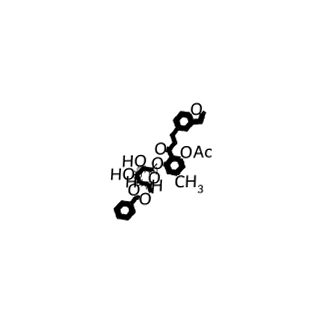 CC(=O)Oc1cc(C)cc(O[C@@H]2O[C@@H]3COC(c4ccccc4)O[C@H]3[C@H](O)[C@H]2O)c1C(=O)CCc1ccc2occc2c1